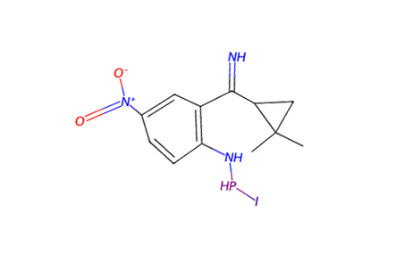 CC1(C)CC1C(=N)c1cc([N+](=O)[O-])ccc1NPI